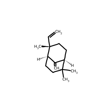 C=C[C@]1(C)CC[C@@H]2C(=C)[C@H]1CCC2(C)C